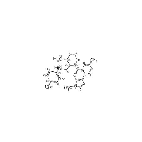 Cc1ccc(-c2cnn(C)c2)c(C(=O)N2CCC[C@@H](C)C2CNc2ccc(Cl)cn2)c1